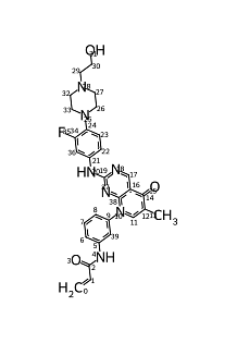 C=CC(=O)Nc1cccc(-n2cc(C)c(=O)c3cnc(Nc4ccc(N5CCN(CCO)CC5)c(F)c4)nc32)c1